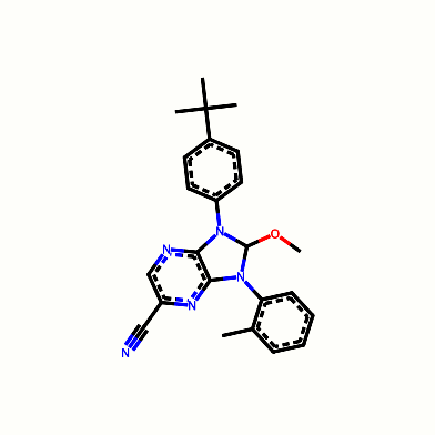 COC1N(c2ccc(C(C)(C)C)cc2)c2ncc(C#N)nc2N1c1ccccc1C